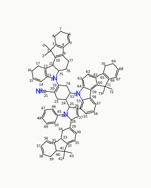 CC1(C)C2=C(C=CCC2)C2=C1C1C3=C(C=CCC3)N(C3=C(C#N)CC(C4C=CC(C5=CC=C6C(C5)C5=CC=CCC5C6(C)C)N4c4ccccc4)C(n4c5ccccc5c5c6c(ccc54)C4=C(C=CCC4)C6(C)C)C3)C1CC2